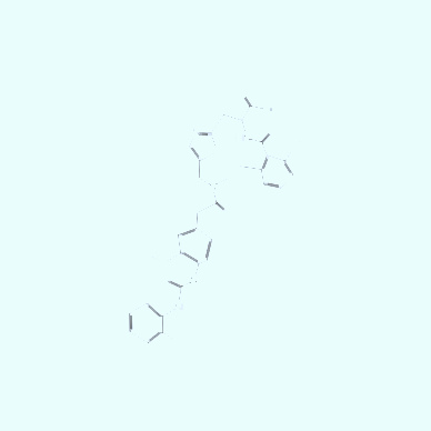 COc1cc(CC(=O)N(C)Cc2cnc(CC(NC(=O)c3c(Cl)cccc3Cl)C(=O)O)o2)ccc1NC(=O)Nc1ccccc1C